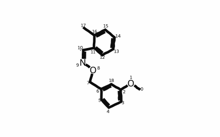 COc1cccc(CO/N=[C]\c2ccccc2C)c1